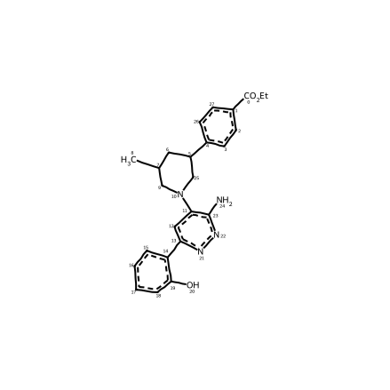 CCOC(=O)c1ccc(C2CC(C)CN(c3cc(-c4ccccc4O)nnc3N)C2)cc1